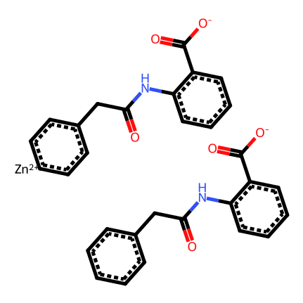 O=C(Cc1ccccc1)Nc1ccccc1C(=O)[O-].O=C(Cc1ccccc1)Nc1ccccc1C(=O)[O-].[Zn+2]